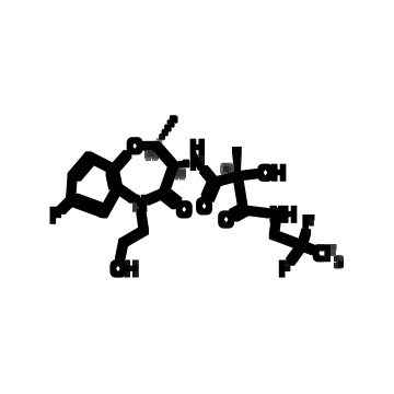 C[C@H]1Oc2ccc(F)cc2N(CCO)C(=O)[C@H]1NC(=O)[C@](C)(O)C(=O)NCC(F)(F)C(F)(F)F